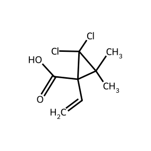 C=CC1(C(=O)O)C(C)(C)C1(Cl)Cl